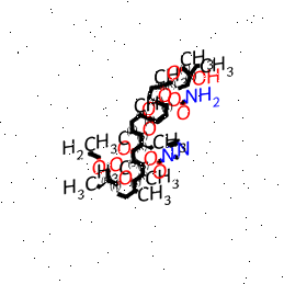 C=CCOC(=O)[C@H](CC)[C@H]1CCC(C)[C@H]([C@@H](C)[C@H](OC(=O)n2ccnc2)[C@H](C)C(=O)[C@H](CC)[C@H]2O[C@]3(C=C[C@@H](OC(N)=O)[C@]4(CC[C@@](C)([C@H]5CC[C@](O)(CC)[C@H](C)O5)O4)O3)[C@H](C)C[C@@H]2C)O1